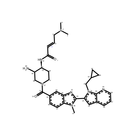 CN(C)C/C=C/C(=O)N[C@H]1CCN(C(=O)c2ccc3c(c2)nc(-c2cc4cccnc4n2CC2CC2)n3C)CC1N